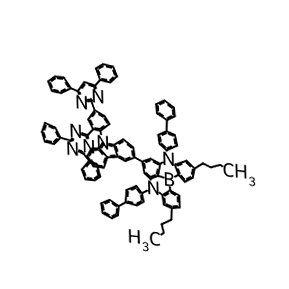 CCCCc1ccc2c(c1)N(c1ccc(-c3ccccc3)cc1)c1cc(-c3ccc4c(c3)c3ccccc3n4-c3ccc(-c4nc(-c5ccccc5)cc(-c5ccccc5)n4)cc3-c3nc(-c4ccccc4)nc(-c4ccccc4)n3)cc3c1B2c1ccc(CCCC)cc1N3c1ccc(-c2ccccc2)cc1